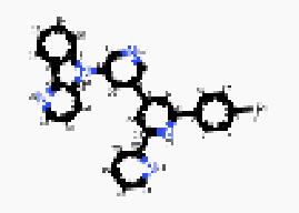 CC(C)c1ccc(-c2cc(-c3cncc(-n4c5ccccc5c5ncccc54)c3)cc(-c3ccccn3)n2)cc1